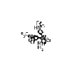 C=C(F)C(=O)Nc1ccc(-c2c(-c3ccc(C(=O)NCC(F)(F)F)c(Cl)c3)c3c(N)ncc(Br)c3n2C)cc1